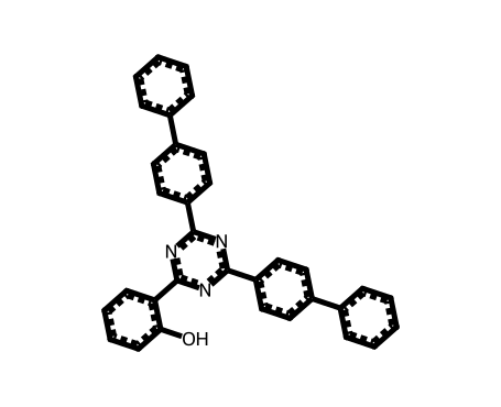 Oc1ccccc1-c1nc(-c2ccc(-c3ccccc3)cc2)nc(-c2ccc(-c3ccccc3)cc2)n1